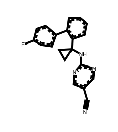 N#Cc1cnc(NC2(c3ccccc3-c3ccc(F)cc3)CC2)nc1